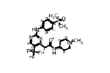 CN1CCC(NC(=O)Cc2nc(Nc3ccc(P(C)(C)=O)cc3)ncc2C(F)(F)F)CC1